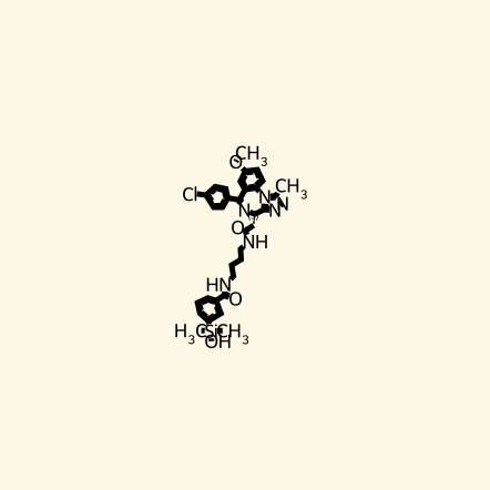 COc1ccc2c(c1)C(c1ccc(Cl)cc1)=N[C@@H](CC(=O)NCCCCNC(=O)c1cccc([Si](C)(C)O)c1)c1nnc(C)n1-2